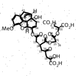 COc1ccc2c3c1O[C@@H]1C(OC(=O)C[C@H](CC(=O)C[C@H](O)C(=O)O)C(=O)O[C@@H](C)C(=O)O[C@@H](CC(=O)O)C(=O)O)=CC[C@]4(O)[C@@H](CCC[C@@]314)C2